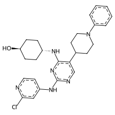 O[C@H]1CC[C@H](Nc2nc(Nc3ccnc(Cl)c3)ncc2C2CCN(c3ccccc3)CC2)CC1